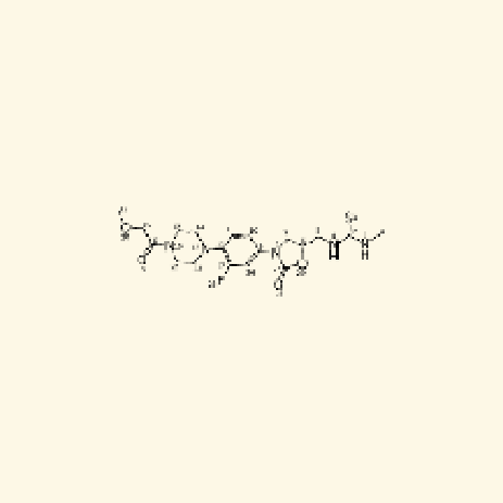 CNC(=S)NCC1CN(c2ccc(N3CCN(C(=O)COC)CC3)c(F)c2)C(=O)O1